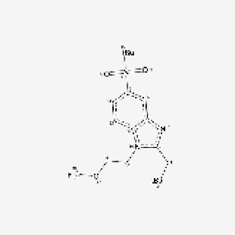 CC(C)(C)Cc1nc2cc(S(=O)(=O)C(C)(C)C)ccc2n1CCOC(F)(F)F